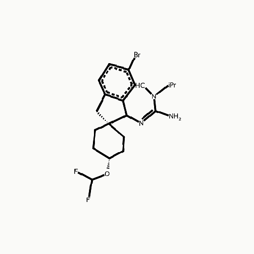 CC(C)N(C=O)/C(N)=N\C1c2cc(Br)ccc2C[C@]12CC[C@@H](OC(F)F)CC2